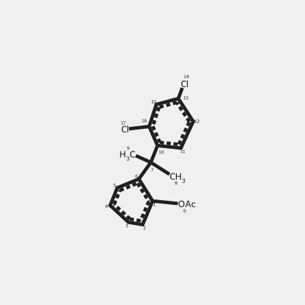 CC(=O)Oc1ccccc1C(C)(C)c1ccc(Cl)cc1Cl